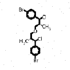 C[C@H](COC[C@@H](C)C(Cl)c1ccc(Br)cc1)C(Cl)c1ccc(Br)cc1